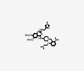 COc1cc2nc(NCc3cn(C)cn3)nc(NC3CCN(Cc4c(OCCN(C)C)cccc4N(C)C)CC3)c2cc1OC